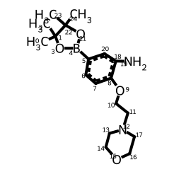 CC1(C)OB(c2ccc(OCCN3CCOCC3)c(N)c2)OC1(C)C